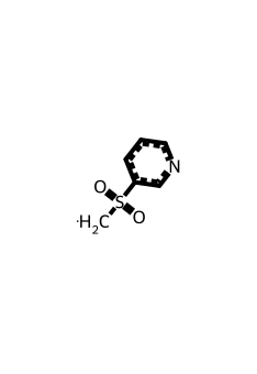 [CH2]S(=O)(=O)c1cccnc1